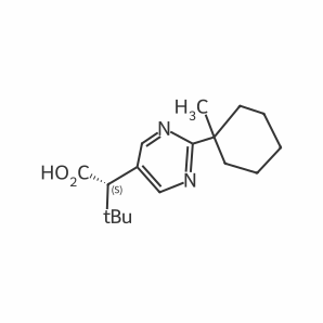 CC1(c2ncc([C@@H](C(=O)O)C(C)(C)C)cn2)CCCCC1